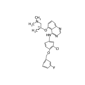 C[C@@H](CN(C)C)Oc1cccc2ncnc(Nc3ccc(OCc4cccc(F)c4)c(Cl)c3)c12